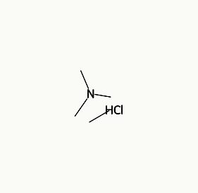 CC.CN(C)C.Cl